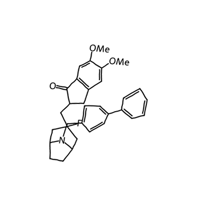 COc1cc2c(cc1OC)C(=O)C(CC1(F)CC3CCC(C1)N3Cc1ccc(-c3ccccc3)cc1)C2